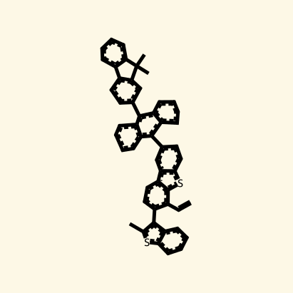 C=Cc1c(-c2c(C)sc3ccccc23)ccc2c1sc1ccc(-c3c4ccccc4c(-c4ccc5c(c4)C(C)(C)c4ccccc4-5)c4ccccc34)cc12